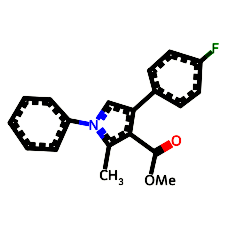 COC(=O)c1c(-c2ccc(F)cc2)cn(-c2ccccc2)c1C